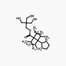 CC(C)C(C(=O)OCC(CO)(CO)CO)(C(C)C)C(C(C)C)(C(C)C)C1NCCO1